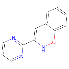 C1=C(c2ncccn2)NOc2ccccc21